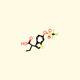 CCC(C(=O)O)c1csc2cc(OS(=O)(=O)C(F)(F)F)ccc12